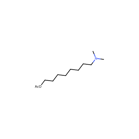 CC(=O)OCCCCCCCCN(C)C